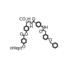 CCCCCCCOc1ccc(C(=O)Oc2ccc(C[C@H](NC(=O)c3ccc(NC(=O)Cc4cccc(OCc5ccccc5)c4)cc3)C(=O)O)cc2)cc1